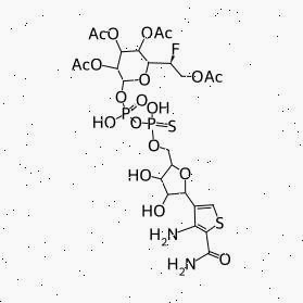 CC(=O)OC[C@H](F)C1OC(OP(=O)(O)OP(O)(=S)OCC2OC(c3csc(C(N)=O)c3N)C(O)C2O)C(OC(C)=O)C(OC(C)=O)C1OC(C)=O